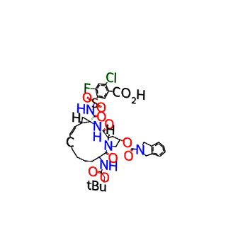 CC(C)(C)OC(=O)N[C@H]1CCCCC/C=C\[C@@H]2C[C@@]2(C(=O)NS(=O)(=O)c2cc(C(=O)O)c(Cl)cc2F)NC(=O)[C@@H]2C[C@@H](OC(=O)N3Cc4ccccc4C3)CN2C1=O